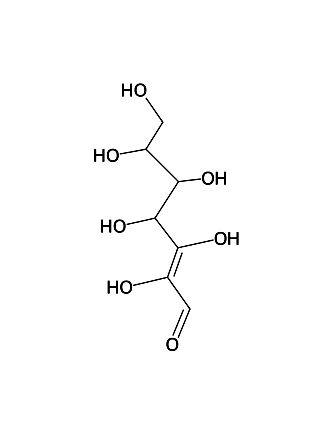 O=CC(O)=C(O)C(O)C(O)C(O)CO